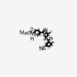 COC(=O)Nc1ccc(-c2cnc3c(C)cc(N(C)C(=O)c4cc(C#N)ccc4C)cn23)cn1